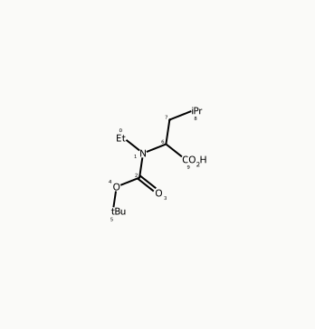 CCN(C(=O)OC(C)(C)C)C(CC(C)C)C(=O)O